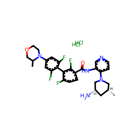 CC1COCCN1c1cc(F)c(-c2c(F)ccc(C(=O)Nc3cnccc3N3C[C@H](C)C[C@H](N)C3)c2F)c(F)c1.Cl.Cl